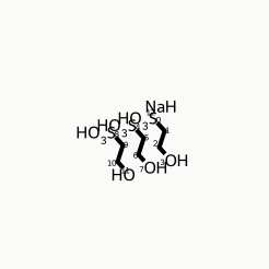 O=S(=O)(O)CCO.O=S(=O)(O)CCO.O=S(=O)(O)CCO.[NaH]